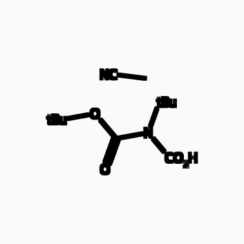 CC#N.CC(C)(C)OC(=O)N(C(=O)O)C(C)(C)C